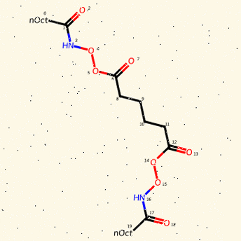 CCCCCCCCC(=O)NOOC(=O)CCCCC(=O)OONC(=O)CCCCCCCC